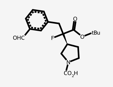 CC(C)(C)OC(=O)C(F)(Cc1cccc(C=O)c1)[C@H]1CCN(C(=O)O)C1